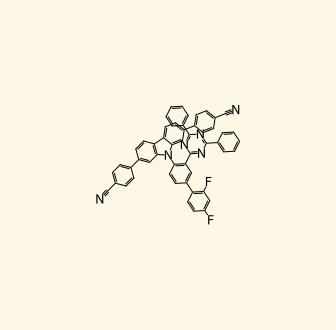 N#Cc1ccc(-c2ccc3c4ccc(-c5ccc(C#N)cc5)cc4n(-c4ccc(-c5ccc(F)cc5F)cc4-c4nc(-c5ccccc5)nc(-c5ccccc5)n4)c3c2)cc1